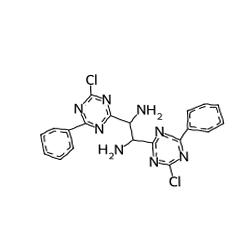 NC(c1nc(Cl)nc(-c2ccccc2)n1)C(N)c1nc(Cl)nc(-c2ccccc2)n1